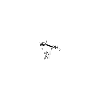 [Ni].[Ni].[PH2][Fe].[W]